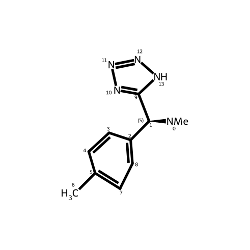 CN[C@@H](c1ccc(C)cc1)c1nnn[nH]1